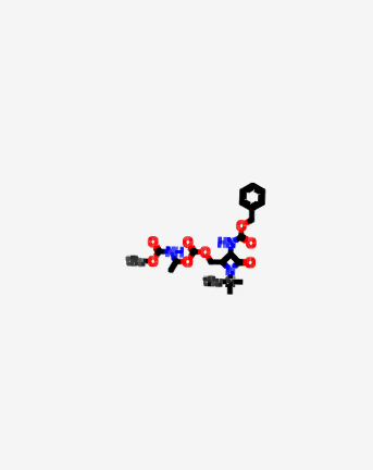 CC(NC(=O)OC(C)(C)C)OC(=O)OCC1C(NC(=O)OCc2ccccc2)C(=O)N1[Si](C)(C)C(C)(C)C